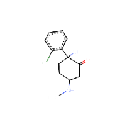 CNC1CCC(N)(c2ccccc2Cl)C(=O)C1